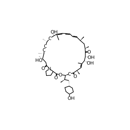 C/C1=C\[C@@H](C)C(=O)C[C@@H]([C@H](C)C[C@H]2CC[C@H](O)CC2)OC(=O)C2CCCN2C(=O)C[C@@](C)(O)[C@H](C)CC[C@H](C)C[C@H](O)/C(C)=C/C=C/C=C/[C@@H](C)C[C@@H](C)C(=O)[C@H](O)[C@@H]1O